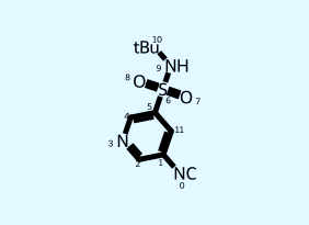 [C-]#[N+]c1cncc(S(=O)(=O)NC(C)(C)C)c1